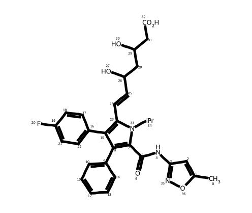 Cc1cc(NC(=O)c2c(-c3ccccc3)c(-c3ccc(F)cc3)c(C=CC(O)CC(O)CC(=O)O)n2C(C)C)no1